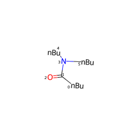 CCCCC(=O)N(CCCC)CCCC